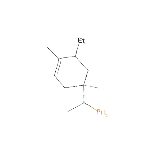 CCC1CC(C)(C(C)P)CC=C1C